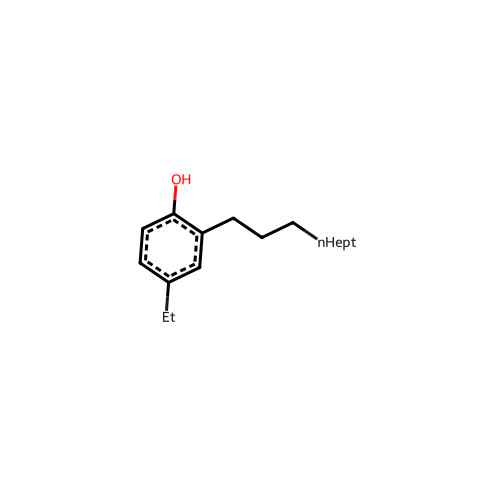 CCCCCCCCCCc1cc(CC)ccc1O